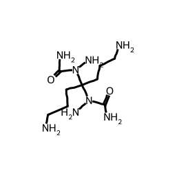 NCCCC(CCCN)(N(N)C(N)=O)N(N)C(N)=O